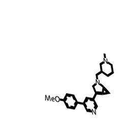 COc1ccc(-c2cncc(C3=C4C=C4N(CC4CCCN(C)C4)C3)c2)cc1